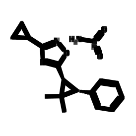 CC1(C)[C@@H](c2ccccc2)[C@@H]1c1nc(C2CC2)no1.N[SH](=O)=O